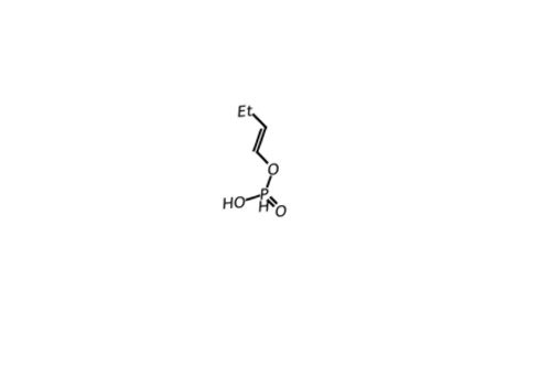 CCC=CO[PH](=O)O